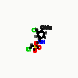 COc1ccc(NOS(=O)(=O)CCl)cc1Cl